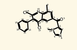 Cc1cc(C(=O)c2cncn2C)cc2c(Cl)c(-c3ccccc3)c(Cl)nc12